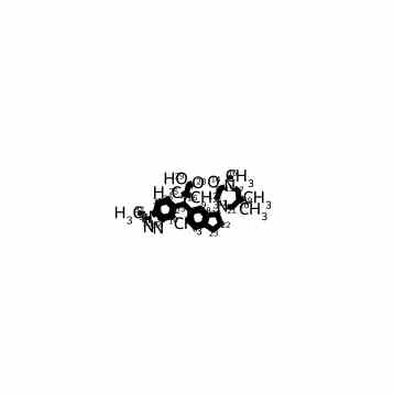 Cc1c([C@H](c2ccc3c(c2)[C@H](N2CC(=O)N(C)CC(C)(C)C2)CC3)C(C)(C)C(=O)O)ccc2c1nnn2C